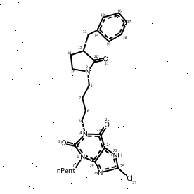 CCCCCn1c(=O)n(CCCCN2CCC(Cc3ccccc3)C2=O)c(=O)c2[nH]c(Cl)nc21